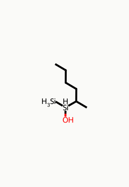 CCCCC(C)[SiH](O)[SiH3]